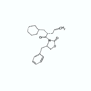 C=CCC(CC1CCCCC1)C(=O)N1C(=O)OCC1Cc1ccccc1